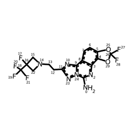 Nc1nc2c3c(ccc2c2nc(CCN4CC(F)(C(F)(F)F)C4)nn12)OC(F)(F)O3